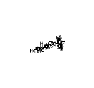 C[C@@H](S[C@H]1CO[C@H](c2ccc(C(=O)Nc3ccc(C#N)cc3F)cc2)OC1)[C@](O)(Cn1cncn1)c1ccc(F)cc1F